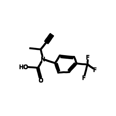 C#CC(C)N(C(=O)O)c1ccc(C(F)(F)F)cc1